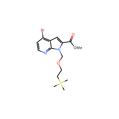 COC(=O)c1cc2c(Br)ccnc2n1COCCS(C)(C)C